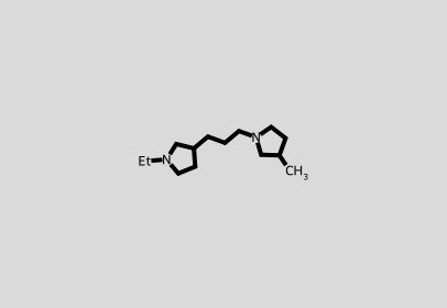 CCN1CCC(CCCN2CCC(C)C2)C1